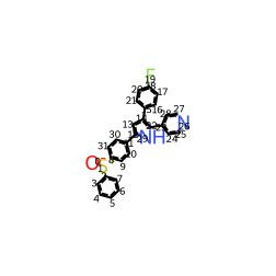 [O-][S+](c1ccccc1)c1ccc(-c2cc(-c3ccc(F)cc3)c(-c3ccncc3)[nH]2)cc1